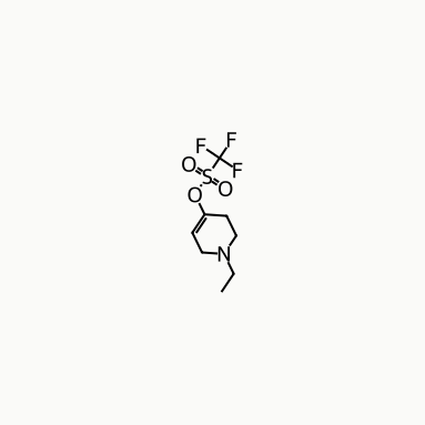 CCN1CC=C(OS(=O)(=O)C(F)(F)F)CC1